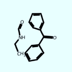 CCNC=O.O=C(c1ccccc1)c1ccccc1